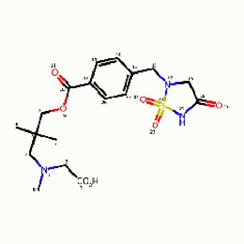 CN(CC(=O)O)CC(C)(C)COC(=O)c1ccc(CN2CC(=O)NS2(=O)=O)cc1